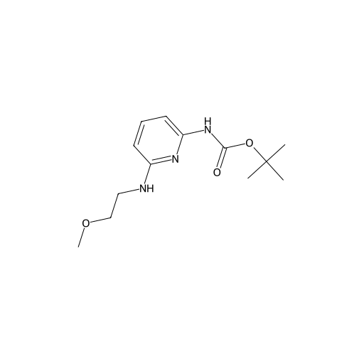 COCCNc1cccc(NC(=O)OC(C)(C)C)n1